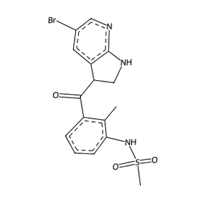 Cc1c(NS(C)(=O)=O)cccc1C(=O)C1CNc2ncc(Br)cc21